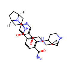 NC(=O)c1ccc(C(=O)N[C@H]2C[C@H]3CC[C@@H](C2)N3c2ccc(C(=O)CCC3CCNCC3)cn2)cc1NCC1CC1